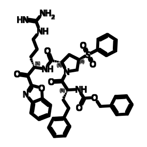 N=C(N)NCCC[C@H](NC(=O)[C@@H]1C[C@@H](S(=O)(=O)c2ccccc2)CN1C(=O)[C@@H](CCc1ccccc1)NC(=O)OCc1ccccc1)C(=O)c1nc2ccccc2o1